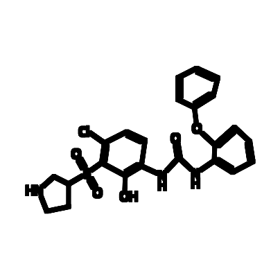 O=C(Nc1ccccc1Oc1ccccc1)Nc1ccc(Cl)c(S(=O)(=O)C2CCNC2)c1O